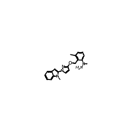 Cc1cccc(N(C)N)c1COc1ccn(-c2cc3ccccc3n2C)n1